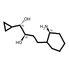 N[C@H]1CCCCC1CC[C@@H](O)[C@@H](O)C1CC1